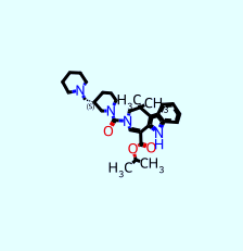 CC(C)OC(=O)C1=CN(C(=O)N2CCC[C@@H](CN3CCCCC3)C2)CC(C)(C)c2c1[nH]c1ccccc21